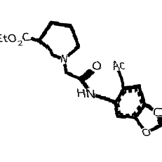 CCOC(=O)C1CCCN(CC(=O)Nc2cc3c(cc2C(C)=O)OCO3)C1